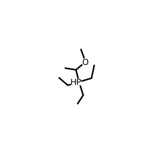 CC[PH](CC)(CC)C(C)OC